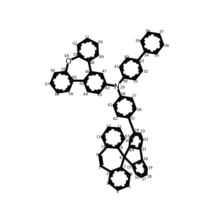 C1=Cc2ccccc2C2(c3ccccc31)c1ccccc1-c1ccc(-c3ccc(N(c4ccc(-c5ccccc5)cc4)c4ccc5c(c4)-c4ccccc4Oc4ccccc4-5)cc3)cc12